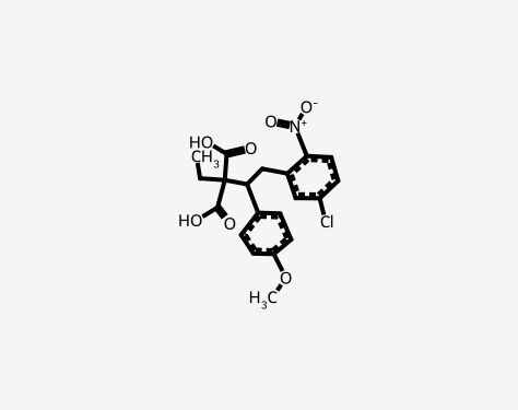 CCC(C(=O)O)(C(=O)O)C(Cc1cc(Cl)ccc1[N+](=O)[O-])c1ccc(OC)cc1